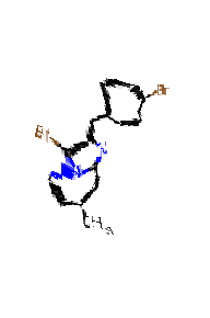 Cc1ccn2c(Br)c(Cc3ccc(Br)cc3)nc2c1